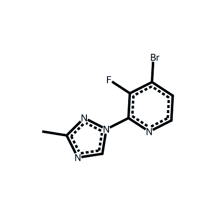 Cc1ncn(-c2nccc(Br)c2F)n1